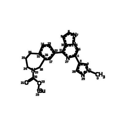 Cn1cc(-c2cn3nccc3c(-c3ccc4c(c3)CN(C(=O)OC(C)(C)C)CCC4)n2)cn1